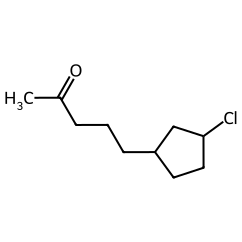 CC(=O)CCCC1CCC(Cl)C1